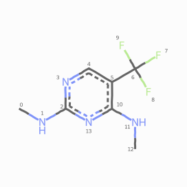 CNc1ncc(C(F)(F)F)c(NC)n1